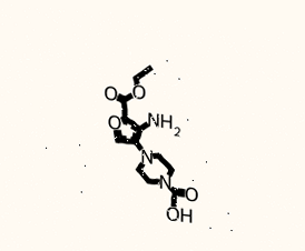 CCOC(=O)c1occ(N2CCN(C(=O)O)CC2)c1N